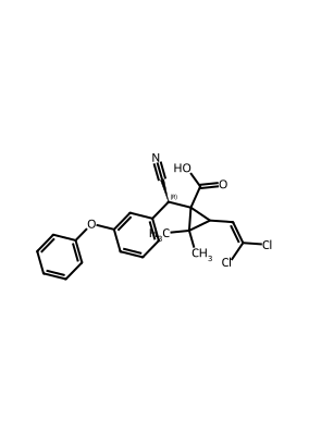 CC1(C)C(C=C(Cl)Cl)C1(C(=O)O)[C@H](C#N)c1cccc(Oc2ccccc2)c1